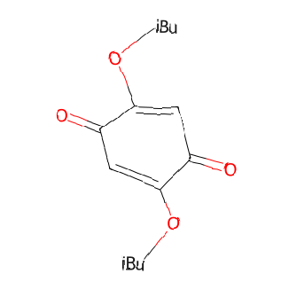 CCC(C)OC1=CC(=O)C(OC(C)CC)=CC1=O